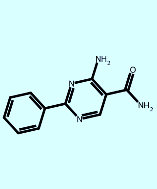 NC(=O)c1cnc(-c2ccccc2)nc1N